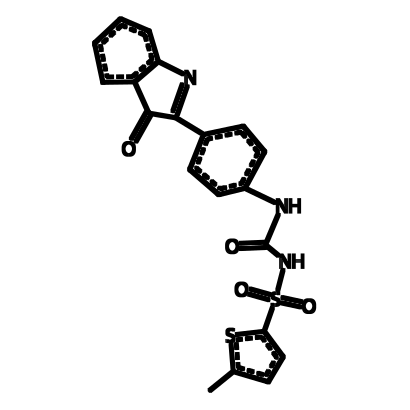 Cc1ccc(S(=O)(=O)NC(=O)Nc2ccc(C3=Nc4ccccc4C3=O)cc2)s1